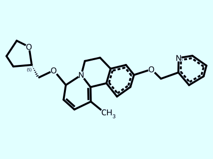 CC1=C2c3ccc(OCc4ccccn4)cc3CCN2C(OC[C@@H]2CCCO2)C=C1